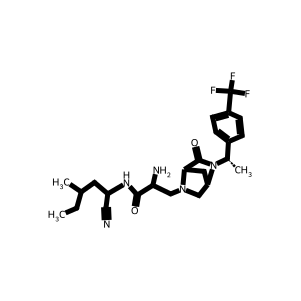 CCC(C)CC(C#N)NC(=O)C(N)CN1CC2CC1C(=O)N2[C@@H](C)c1ccc(C(F)(F)F)cc1